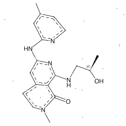 Cc1ccnc(Nc2cc3ccn(C)c(=O)c3c(NC[C@@H](C)O)n2)c1